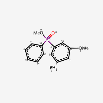 B.COc1cccc(P(=O)(OC)c2ccccc2)c1